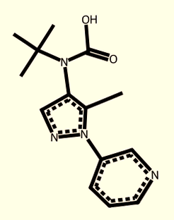 Cc1c(N(C(=O)O)C(C)(C)C)cnn1-c1cccnc1